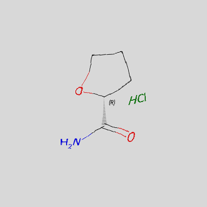 Cl.NC(=O)[C@H]1CCCO1